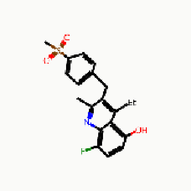 CCc1c(Cc2ccc(S(C)(=O)=O)cc2)c(C)nc2c(F)ccc(O)c12